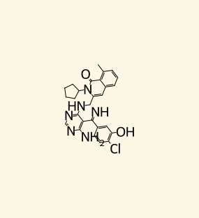 Cc1cccc2cc(CNc3ncnc(N)c3C(=N)c3ccc(Cl)c(O)c3)n(C3CCCC3)c(=O)c12